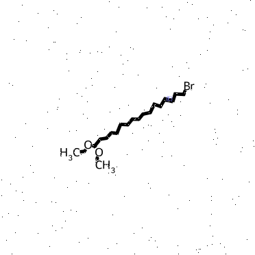 CCOC(CCCCCCCCCCCC/C=C/CCBr)OCC